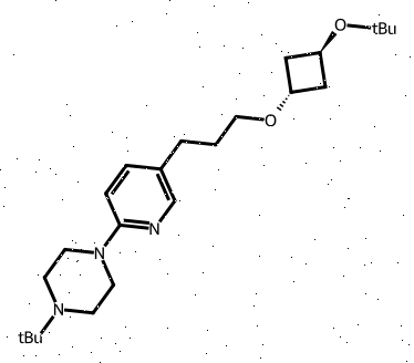 CC(C)(C)O[C@H]1C[C@H](OCCCc2ccc(N3CCN(C(C)(C)C)CC3)nc2)C1